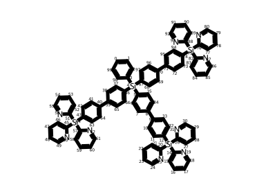 c1ccc([Si](c2ccc(-c3ccc([Si](c4ccccn4)(c4ccccn4)c4ccccn4)cc3)cc2)(c2ccc(-c3ccc([Si](c4ccccn4)(c4ccccn4)c4ccccn4)cc3)cc2)c2ccc(-c3ccc([Si](c4ccccn4)(c4ccccn4)c4ccccn4)cc3)cc2)cc1